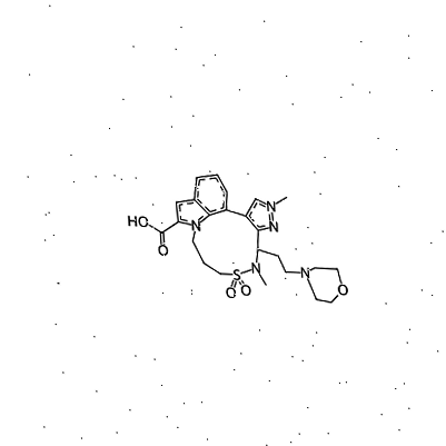 CN1C(CCN2CCOCC2)c2nn(C)cc2-c2cccc3cc(C(=O)O)n(c23)CCCS1(=O)=O